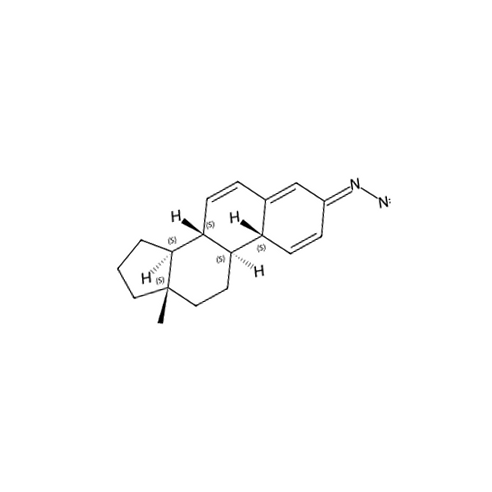 C[C@@]12CCC[C@H]1[C@@H]1C=CC3=CC(=N[N])C=C[C@@H]3[C@H]1CC2